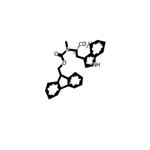 CN(C(=O)OCC1c2ccccc2-c2ccccc21)[C@@H](Cc1c[nH]c2ccccc12)C(=O)O